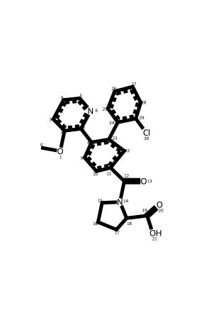 COc1cccnc1-c1ccc(C(=O)N2CCCC2C(=O)O)cc1-c1ccccc1Cl